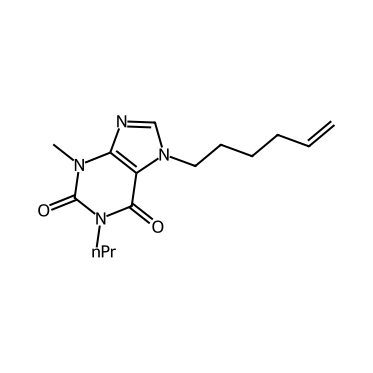 C=CCCCCn1cnc2c1c(=O)n(CCC)c(=O)n2C